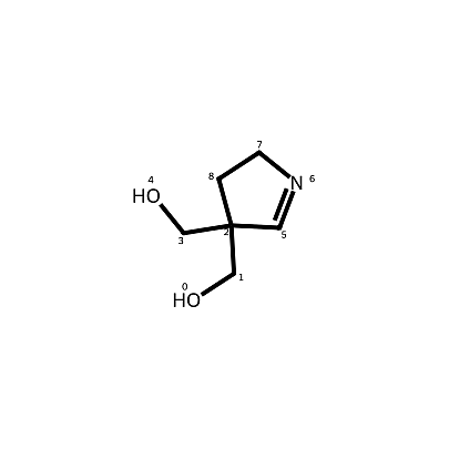 OCC1(CO)C=NCC1